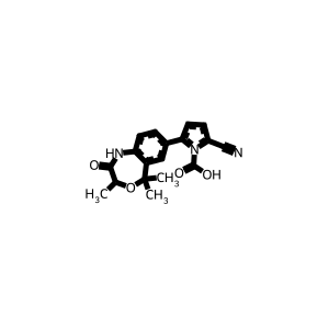 CC1OC(C)(C)c2cc(-c3ccc(C#N)n3C(=O)O)ccc2NC1=O